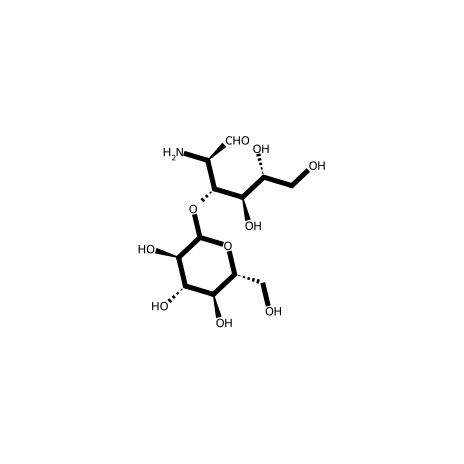 N[C@@H](C=O)[C@@H](OC1O[C@H](CO)[C@@H](O)[C@H](O)[C@H]1O)[C@H](O)[C@H](O)CO